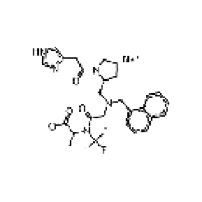 C[C@@H](C(=O)[O-])N(C(=O)CN(Cc1cccc2ccccc12)C[C@@H]1CCCN1C(=O)Cc1c[nH]cn1)C(F)(F)F.[Na+]